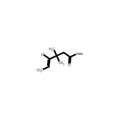 COC(=O)CC(C)(C)C(Cl)=CC(Cl)(Cl)Cl